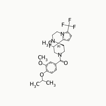 COc1cc(C(=O)N2CC[C@@]3(c4ccc(C(F)(F)F)n4CCN3C)C(F)C2)ccc1OC(C)C